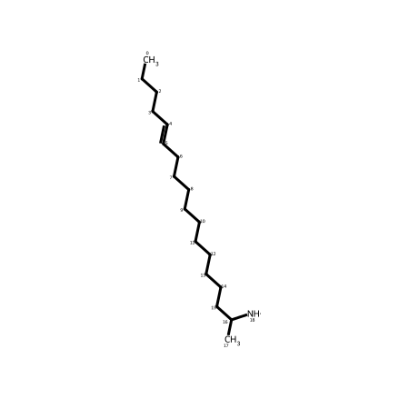 CCCC/C=C/CCCCCCCCCCC(C)[NH]